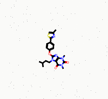 Cc1csc(-c2ccc(Oc3nc4c(c(=O)n(C)c(=O)n4C)n3CCC(C)C)cc2)n1